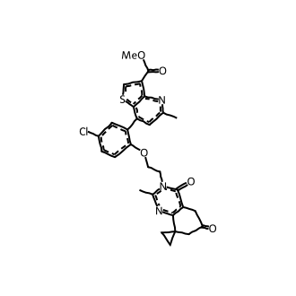 COC(=O)c1csc2c(-c3cc(Cl)ccc3OCCn3c(C)nc4c(c3=O)CC(=O)CC43CC3)cc(C)nc12